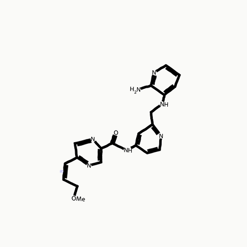 COC/C=C\c1cnc(C(=O)Nc2ccnc(CNc3cccnc3N)c2)cn1